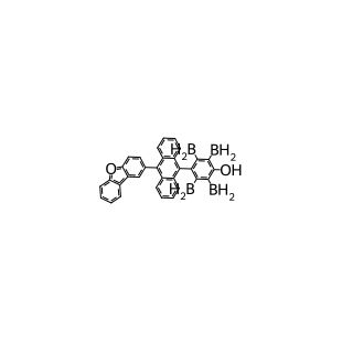 Bc1c(B)c(-c2c3ccccc3c(-c3ccc4oc5ccccc5c4c3)c3ccccc23)c(B)c(B)c1O